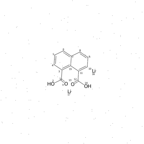 O=C(O)c1cccc2cccc(C(=O)O)c12.[Li].[Li]